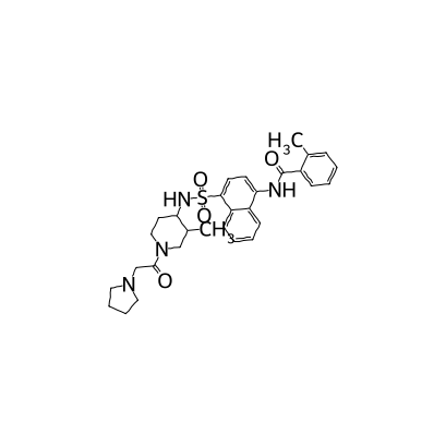 Cc1ccccc1C(=O)Nc1ccc(S(=O)(=O)NC2CCN(C(=O)CN3CCCC3)CC2C)c2ccccc12